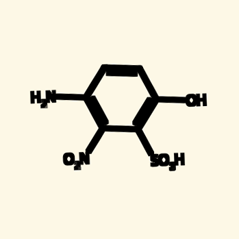 Nc1ccc(O)c(S(=O)(=O)O)c1[N+](=O)[O-]